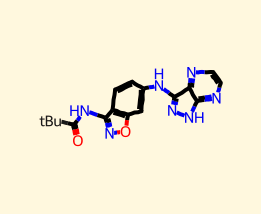 CC(C)(C)C(=O)Nc1noc2cc(Nc3n[nH]c4nccnc34)ccc12